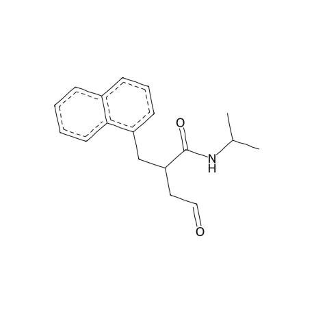 CC(C)NC(=O)C(CC=O)Cc1cccc2ccccc12